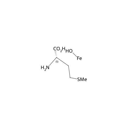 CSCC[C@H](N)C(=O)O.[OH][Fe]